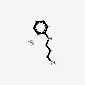 CCCCPc1ccccc1.Cl